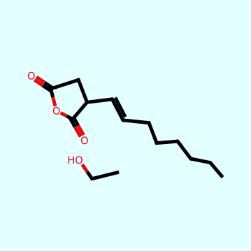 CCCCCCC=CC1CC(=O)OC1=O.CCO